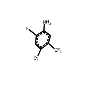 CCc1cc(F)c(N)cc1C(F)(F)F